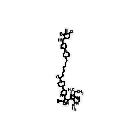 CC(C)n1nc(-c2noc(C3CC3)c2-c2ccc(C3CCN(C(=O)CCCCCCCN4CCN(c5ccc(NC6CCC(=O)NC6=O)cc5)CC4)CC3)cn2)c2c(N)ncnc21